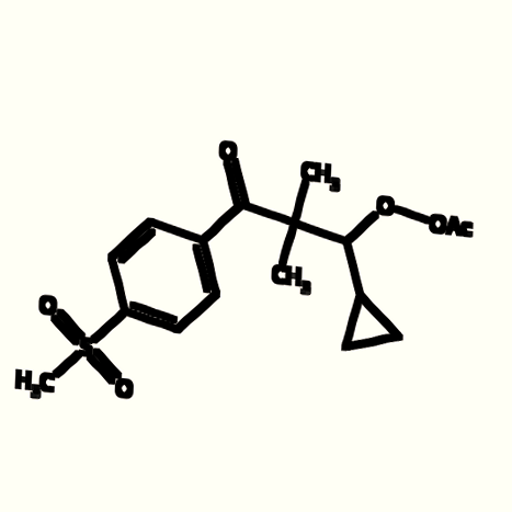 CC(=O)OOC(C1CC1)C(C)(C)C(=O)c1ccc(S(C)(=O)=O)cc1